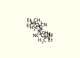 CCN(CC)C(C)(C)CC(C)(C#N)/N=N/C(C)(C#N)CC(C)(C)N(CC)CC